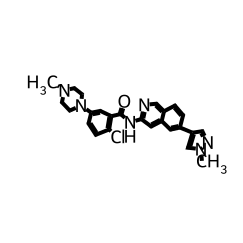 CN1CCN(c2ccc(Cl)c(C(=O)Nc3cc4cc(-c5cnn(C)c5)ccc4cn3)c2)CC1